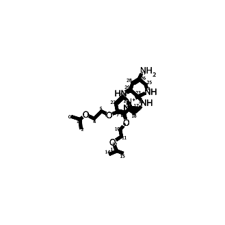 CC(C)OCCOC1=C(OCCOC(C)C)C2=C3C=N[N+]2(C=C1)C1(NCC(N)=CC1=N)N3